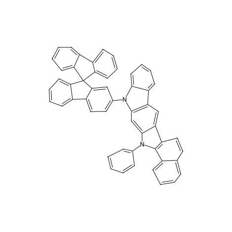 c1ccc(-n2c3cc4c(cc3c3ccc5ccccc5c32)c2ccccc2n4-c2ccc3c(c2)C2(c4ccccc4-c4ccccc42)c2ccccc2-3)cc1